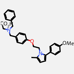 COc1ccc(-c2ccc(C)n2CCOc2ccc(CN(CC(=O)O)Cc3ccccc3)cc2)cc1